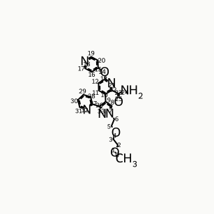 COCCOCCn1cc(-c2ccc(Oc3ccncc3)nc2C(N)=O)c(-c2ccccn2)n1